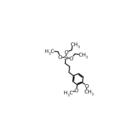 CCO[Si](CCCc1ccc(OC)c(OC)c1)(OCC)OCC